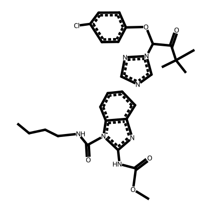 CC(C)(C)C(=O)C(Oc1ccc(Cl)cc1)n1cncn1.CCCCNC(=O)n1c(NC(=O)OC)nc2ccccc21